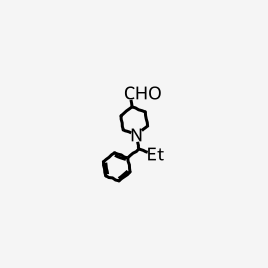 CCC(c1ccccc1)N1CCC(C=O)CC1